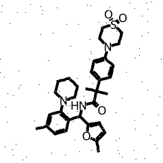 Cc1ccc(C(NC(=O)C(C)(C)c2ccc(N3CCS(=O)(=O)CC3)cc2)c2ccc(C)o2)c(N2CCCCC2)c1